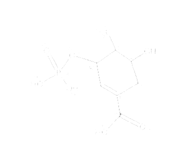 CC1C(O)CC(C(=O)O)=CC1OP(=O)(O)O